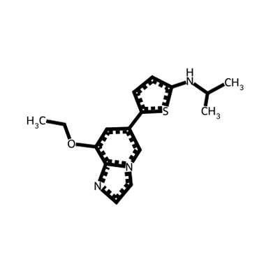 CCOc1cc(-c2ccc(NC(C)C)s2)cn2ccnc12